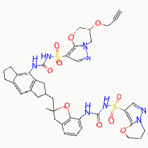 C#CCOC1COc2c(S(=O)(=O)NC(=O)Nc3c4c(cc5c3CC(CC3(C)Cc6cccc(NC(=O)NS(=O)(=O)c7cnn8c7OCCC8)c6O3)C5)CCC4)cnn2C1